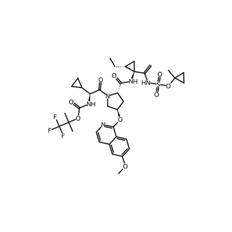 C=C(NS(=O)(=O)OC1(C)CC1)[C@@]1(NC(=O)[C@@H]2C[C@@H](Oc3nccc4cc(OC)ccc34)CN2C(=O)[C@@H](NC(=O)OC(C)(C)C(F)(F)F)C2CC2)C[C@H]1CC